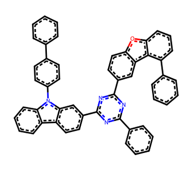 c1ccc(-c2ccc(-n3c4ccccc4c4ccc(-c5nc(-c6ccccc6)nc(-c6ccc7oc8cccc(-c9ccccc9)c8c7c6)n5)cc43)cc2)cc1